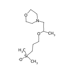 CC(CN1CCOCC1)OCCC[Si](C)(C)[O]